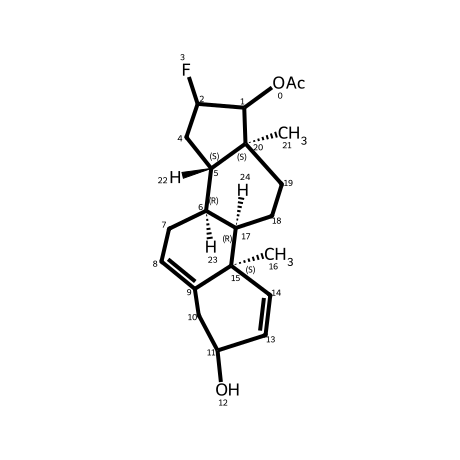 CC(=O)OC1C(F)C[C@H]2[C@@H]3CC=C4CC(O)C=C[C@]4(C)[C@@H]3CC[C@]12C